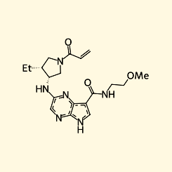 C=CC(=O)N1C[C@@H](CC)[C@@H](Nc2cnc3[nH]cc(C(=O)NCCOC)c3n2)C1